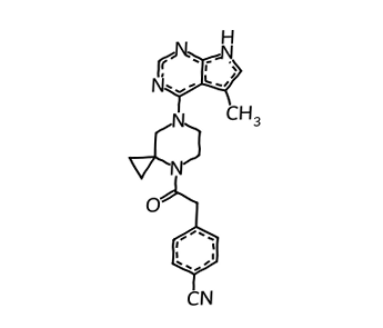 Cc1c[nH]c2ncnc(N3CCN(C(=O)Cc4ccc(C#N)cc4)C4(CC4)C3)c12